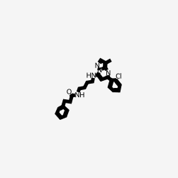 Cc1cnn2c(NCCCCNC(=O)CCc3ccccc3)cc(-c3ccccc3Cl)nc12